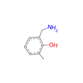 Cc1cccc(CN)c1O